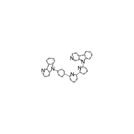 c1cc(-c2ccc(-n3c4ccccc4c4ncccc43)cc2)nc(-c2cccc(-n3c4ccccc4c4ccncc43)n2)c1